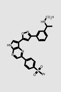 CC(NC(=O)O)c1cccc(-c2cc(-c3c[nH]c4ncc(-c5ccc(S(=O)(=O)C(C)C)cc5)nc34)on2)c1